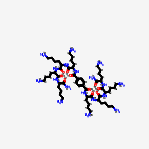 NCCCCC(NC(=O)C(CCCCN)NC(=O)C(CCCCN)NC(=O)C(CCCCN)NC(=O)c1ccc(C(=O)NC(CCCCN)C(=O)NC(CCCCN)C(=O)NC(CCCCN)C(=O)NC(CCCCN)C(N)=O)cc1)C(N)=O